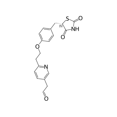 O=CCc1ccc(CCOc2ccc(C[C@@H]3SC(=O)NC3=O)cc2)nc1